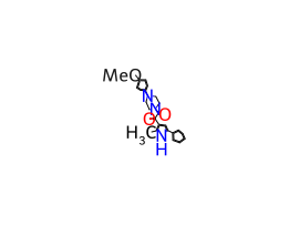 COc1ccc(N2CCN(C(=O)C(=O)c3cc(-c4ccccc4)[nH]c3C)CC2)cc1